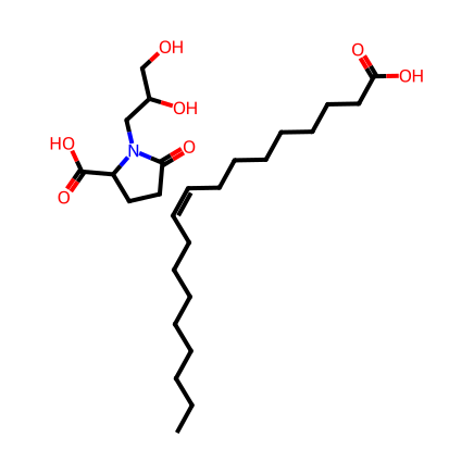 CCCCCCCC/C=C\CCCCCCCC(=O)O.O=C(O)C1CCC(=O)N1CC(O)CO